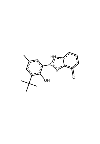 Cc1cc(-n2nc3c(=O)cccc-3[nH]2)c(O)c(C(C)(C)C)c1